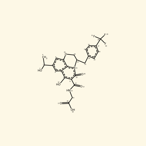 CC(O)c1cc2c3c(c1)c(O)c(C(=O)NCC(=O)O)c(=O)n3C(Cc1ccc(C(F)(F)F)cc1)CO2